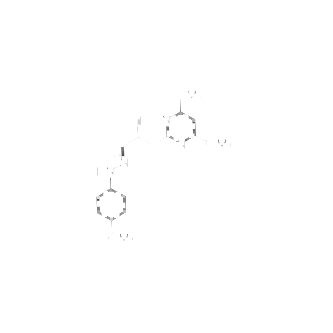 COc1ccc(N/N=C/C(Sc2nc(OC)cc(OC)n2)C(C)C)cc1